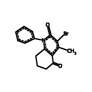 Cc1c2c(n(-c3ccccc3)c(=O)c1Br)CCCC2=O